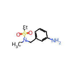 CCS(=O)(=O)N(C)Cc1cccc(N)c1